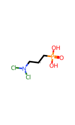 O=P(O)(O)C[CH]CN(Cl)Cl